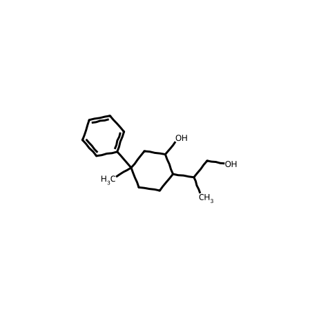 CC(CO)C1CCC(C)(c2ccccc2)CC1O